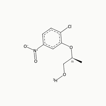 [3H]OC[C@H](C)Oc1cc([N+](=O)[O-])ccc1Cl